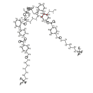 CCCCCCC(CCCC(Oc1ccccc1-c1ccc(OC(=O)c2ccc(COCCCCCCCC(F)(F)F)cc2)cc1)[Si](C)(C)O[Si](C)(C)O[SiH](C)C)Oc1ccccc1-c1ccc(OC(=O)c2ccc(COCCCCCCCC(F)(F)F)cc2)cc1